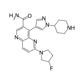 NC(=O)c1cnc2ccc(N3CCC(F)C3)nc2c1-c1cnn(C2CCNCC2)c1